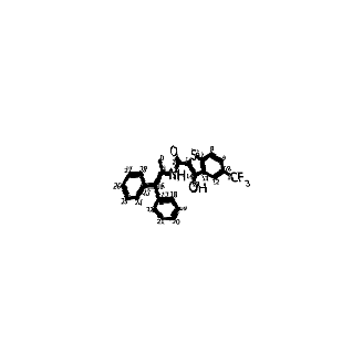 CC(NC(=O)c1sc2ccc(C(F)(F)F)cc2c1O)=C(c1ccccc1)c1ccccc1